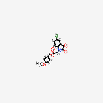 COc1ccc(COC(=O)CN2C(=O)C(=O)c3cc(Cl)ccc32)cc1